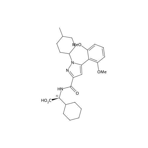 COc1cccc(OC)c1-c1cc(C(=O)N[C@H](C(=O)O)C2CCCCC2)nn1C1CCC(C)CC1